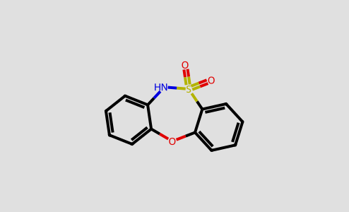 O=S1(=O)Nc2ccccc2Oc2ccccc21